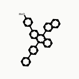 COc1ccc(-c2ccc3c(-c4ccc(-c5ccccc5)cc4)c4ccccc4c(-c4ccc5ccccc5c4)c3c2)cc1